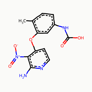 Cc1ccc(NC(=O)O)cc1Oc1ccnc(N)c1[N+](=O)[O-]